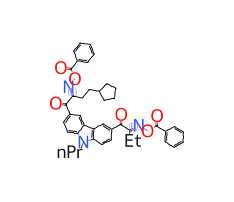 CCCn1c2ccc(C(=O)/C(CC)=N/OC(=O)c3ccccc3)cc2c2cc(C(=O)/C(CCC3CCCC3)=N/OC(=O)c3ccccc3)ccc21